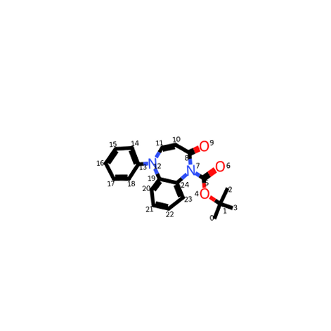 CC(C)(C)OC(=O)N1C(=O)C=CN(c2ccccc2)c2ccccc21